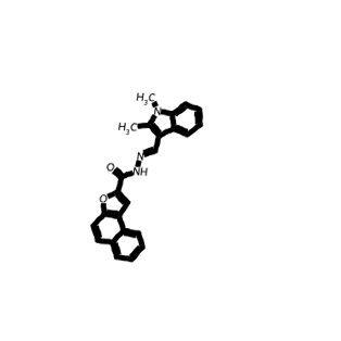 Cc1c(/C=N/NC(=O)c2cc3c(ccc4ccccc43)o2)c2ccccc2n1C